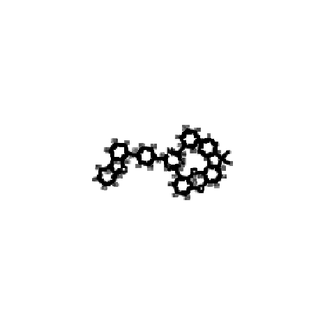 CC1(C)c2ccccc2-c2c1ccc1c2Oc2c(cccc2-c2nc(-c3ccccc3)nc(-c3ccc(-c4cccc5c4oc4ccccc45)cc3)n2)O1